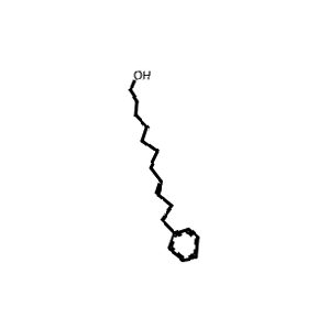 OCCCCCCCC=CCCc1ccccc1